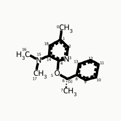 Cc1cnc(O[C@@H](C)c2ccccc2)c(N(C)C)c1